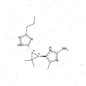 CCCc1n[nH]c([C@@H]2[C@@H](c3[nH]c(N)nc3C)C2(C)C)n1